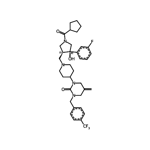 C=C1CN(Cc2ccc(C(F)(F)F)cc2)C(=O)N(C2CCN(C[C@H]3CN(C(=O)C4CCCC4)C[C@]3(O)c3cccc(F)c3)CC2)C1